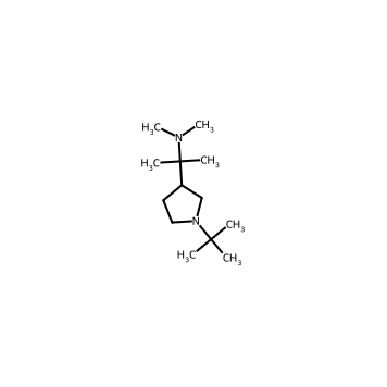 CN(C)C(C)(C)C1CCN(C(C)(C)C)C1